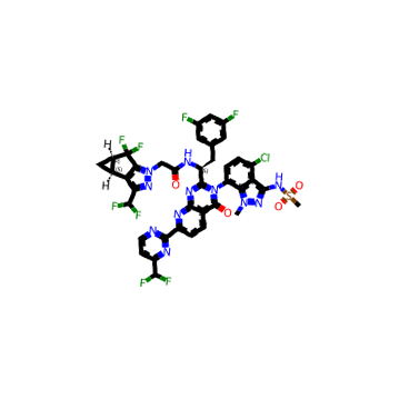 Cn1nc(NS(C)(=O)=O)c2c(Cl)ccc(-n3c([C@H](Cc4cc(F)cc(F)c4)NC(=O)Cn4nc(C(F)F)c5c4C(F)(F)[C@@H]4C[C@H]54)nc4nc(-c5nccc(C(F)F)n5)ccc4c3=O)c21